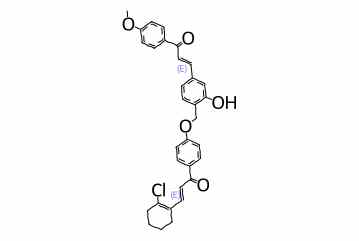 COc1ccc(C(=O)/C=C/c2ccc(COc3ccc(C(=O)/C=C/C4=C(Cl)CCCC4)cc3)c(O)c2)cc1